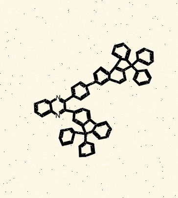 c1ccc(C2(c3ccccc3)c3ccccc3-c3ccc(-c4nc5ccccc5nc4-c4ccc(-c5ccc6c7c(ccc6c5)C(c5ccccc5)(c5ccccc5)c5ccccc5-7)cc4)cc32)cc1